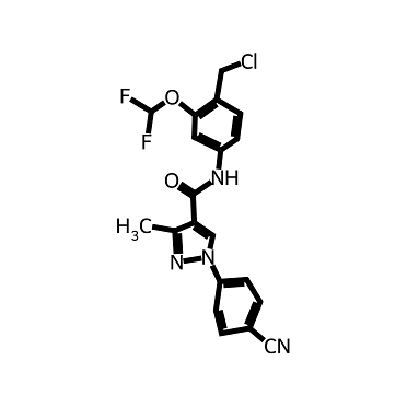 Cc1nn(-c2ccc(C#N)cc2)cc1C(=O)Nc1ccc(CCl)c(OC(F)F)c1